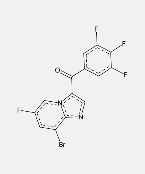 O=C(c1cc(F)c(F)c(F)c1)c1cnc2c(Br)cc(F)cn12